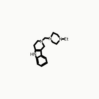 CCN1CCN(CN2CCc3[nH]c4ccccc4c3C2)CC1